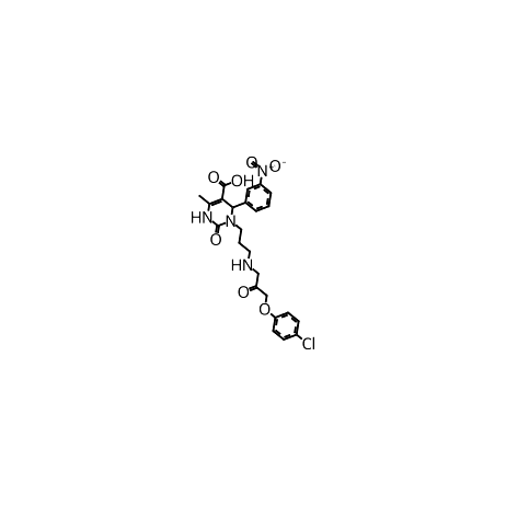 CC1=C(C(=O)O)C(c2cccc([N+](=O)[O-])c2)N(CCCNCC(=O)COc2ccc(Cl)cc2)C(=O)N1